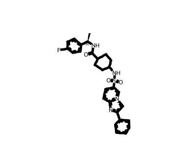 C[C@@H](NC(=O)C1CCC(NS(=O)(=O)c2ccc3nc(-c4ccccc4)cn3c2)CC1)c1ccc(F)cc1